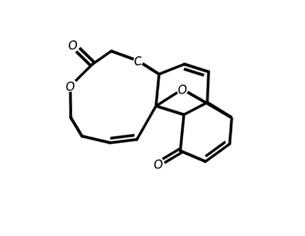 O=C1CCC2C=CC3C4C=CC(=O)C3C2(/C=C\CCO1)O4